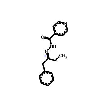 CC/C(Cc1ccccc1)=N\NC(=O)c1ccncc1